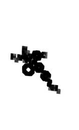 NCCN1CCN(c2ccc(C3c4cc(Cl)ccc4NC(N=C(N)N)N3C3CCCCCCC3)cc2)CC1